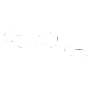 c1ccn2nc(-c3cnc4cc(-c5cn6nccc6cn5)nn4c3)nc2c1